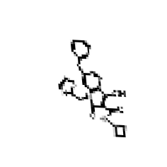 O=C(NC1CCC1)c1c(O)c2ncc(Cc3ccccc3)cc2n(Cc2nccs2)c1=O